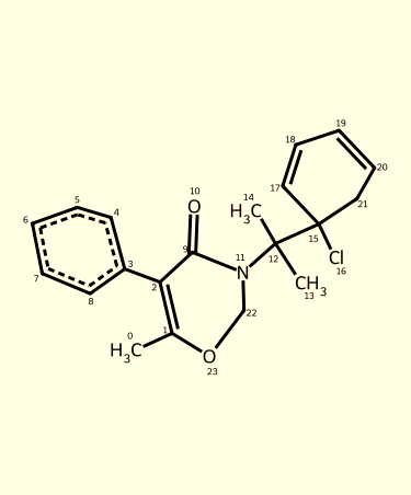 CC1=C(c2ccccc2)C(=O)N(C(C)(C)C2(Cl)C=CC=CC2)CO1